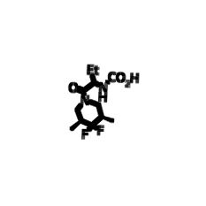 CCC(NC(=O)O)C(=O)N1C[C@@H](C)C(F)(F)[C@@H](C)C1